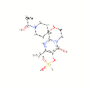 CCOC(=O)c1nc2n(c(=O)c1OS(C)(=O)=O)CCOC21CCN(C(=O)OC)CC1